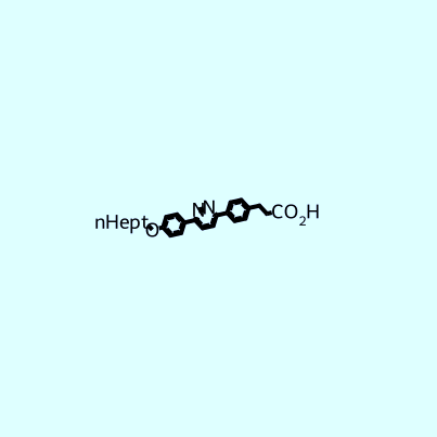 CCCCCCCOc1ccc(-c2ccc(-c3ccc(CCC(=O)O)cc3)nn2)cc1